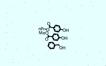 CCCOC(=O)c1ccc(O)cc1.COC(=O)c1ccc(O)cc1.OCc1ccccc1